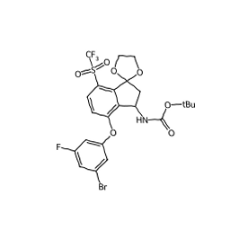 CC(C)(C)OC(=O)NC1CC2(OCCO2)c2c(S(=O)(=O)C(F)(F)F)ccc(Oc3cc(F)cc(Br)c3)c21